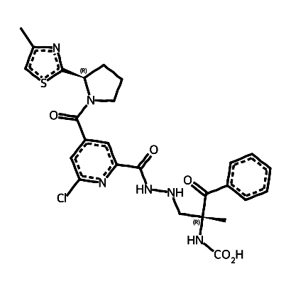 Cc1csc([C@H]2CCCN2C(=O)c2cc(Cl)nc(C(=O)NNC[C@@](C)(NC(=O)O)C(=O)c3ccccc3)c2)n1